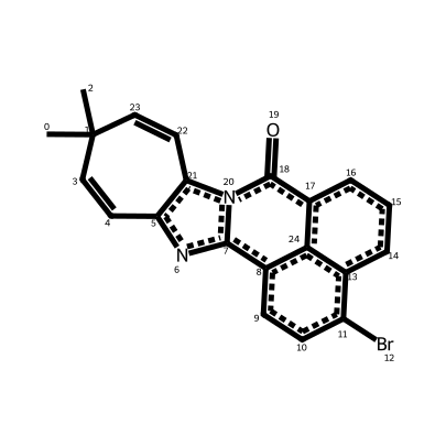 CC1(C)C=Cc2nc3c4ccc(Br)c5cccc(c(=O)n3c2C=C1)c54